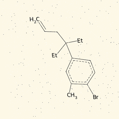 C=CCC(CC)(CC)c1ccc(Br)c(C)c1